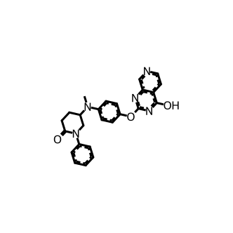 CN(c1ccc(Oc2nc(O)c3ccncc3n2)cc1)C1CCC(=O)N(c2ccccc2)C1